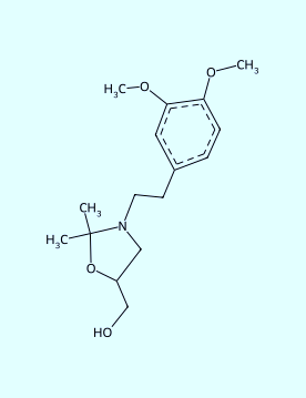 COc1ccc(CCN2CC(CO)OC2(C)C)cc1OC